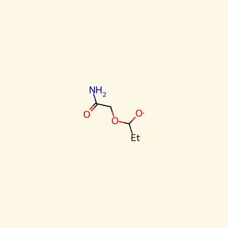 CCC([O])OCC(N)=O